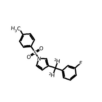 [2H]C([2H])(c1cccc(F)c1)c1ccn(S(=O)(=O)c2ccc(C)cc2)c1